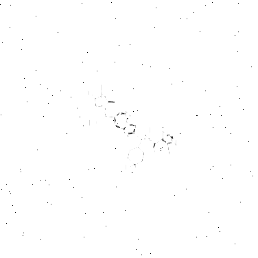 Cc1nonc1C(=O)N[C@H](c1cn2ncc([C@@H](O)N3C[C@@H](C(C)C)NC3=O)cc2n1)C1CCC(F)(F)CC1